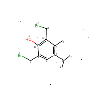 Cc1c(C(C)C)cc(CBr)c(O)c1CBr